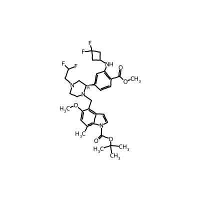 COC(=O)c1ccc([C@@H]2CN(CC(F)F)CCN2Cc2c(OC)cc(C)c3c2ccn3C(=O)OC(C)(C)C)cc1NC1CC(F)(F)C1